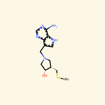 CCCCSC[C@H]1CN(Cc2c[nH]c3c(N)ncnc23)C[C@H]1O